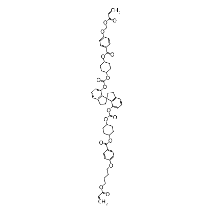 C=CC(=O)OCCCCOc1ccc(C(=O)OC2CCC(OC(=O)Oc3cccc4c3C3(CC4)CCc4cccc(OC(=O)OC5CCC(OC(=O)c6ccc(OCOC(=O)C=C)cc6)CC5)c43)CC2)cc1